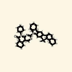 CC1(C)c2cc3c(cc2-c2ccc4ccccc4c21)c1ccccc1n3-c1ncc2c3ccccc3c(=O)n(-c3ccccc3)c2n1